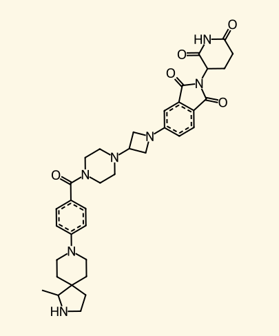 CC1NCCC12CCN(c1ccc(C(=O)N3CCN(C4CN(c5ccc6c(c5)C(=O)N(C5CCC(=O)NC5=O)C6=O)C4)CC3)cc1)CC2